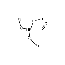 CCO[PH](OCC)(OCC)P=O